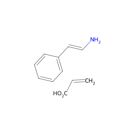 C=CC(=O)O.NC=Cc1ccccc1